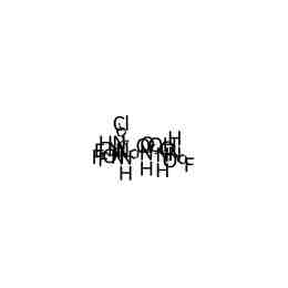 O=C(NCC[C@H](NC(=O)c1ccc(Nc2nc(NC3(c4ccc(Cl)cc4)CC3)nc(OCC(F)(F)F)n2)cc1)C(=O)O)C(=O)Nc1ccc(F)cc1